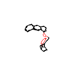 O=C1C2C=CC1C(COc1cccc3cc4ccccc4cc13)C2